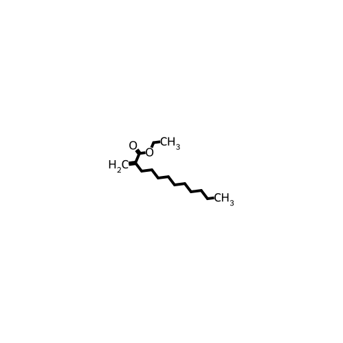 C=C(CCCCCCCCCC)C(=O)OCC